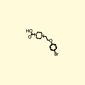 O=C(O)N1CCN(CCOc2ccc(Br)cc2)CC1